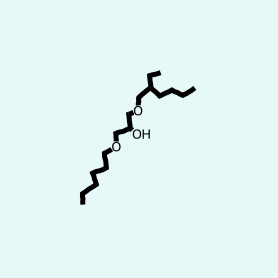 CCCCCCOCC(O)COCC(CC)CCCC